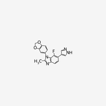 Cc1nc2ccc(-c3cn[nH]c3)c(F)c2n1-c1ccc2c(c1)OCO2